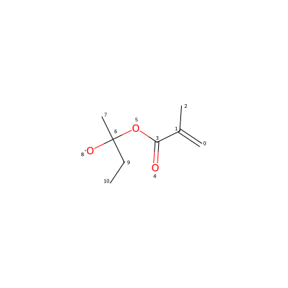 C=C(C)C(=O)OC(C)([O])CC